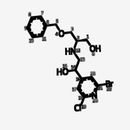 OC[C@H](COCc1ccccc1)NCC(O)c1cc(Cl)nc(Br)c1